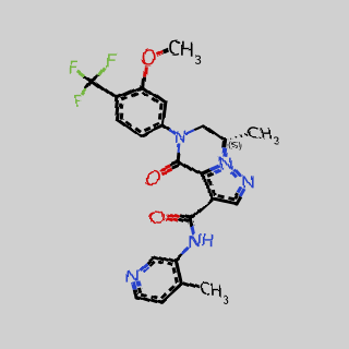 COc1cc(N2C[C@H](C)n3ncc(C(=O)Nc4cnccc4C)c3C2=O)ccc1C(F)(F)F